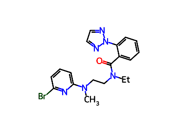 CCN(CCN(C)c1cccc(Br)n1)C(=O)c1ccccc1-n1nccn1